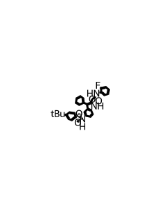 CC(C)(C)c1ccc(S(=O)(=O)Nc2ccc3[nH]c(OC(=O)Nc4ccccc4F)c(-c4ccccc4)c3c2)cc1